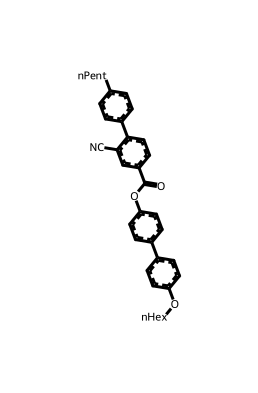 CCCCCCOc1ccc(-c2ccc(OC(=O)c3ccc(-c4ccc(CCCCC)cc4)c(C#N)c3)cc2)cc1